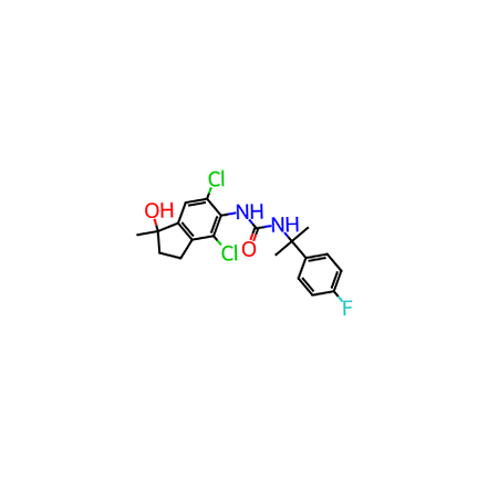 CC1(O)CCc2c1cc(Cl)c(NC(=O)NC(C)(C)c1ccc(F)cc1)c2Cl